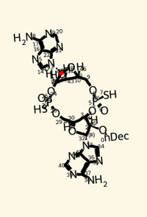 CCCCCCCCCCO[C@@H]1[C@@H]2O[P@](=O)(S)OC[C@H]3O[C@@H](n4cnc5c(N)ncnc54)[C@H](O[P@](=O)(S)OC[C@H]2O[C@H]1n1cnc2c(N)ncnc21)[C@@H]3O